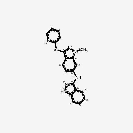 Cn1nc(Oc2ccccn2)c2ccc(Nc3n[nH]c4cccnc34)cc21